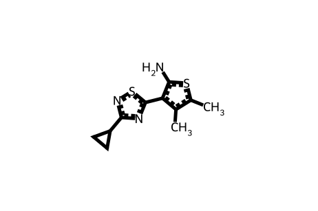 Cc1sc(N)c(-c2nc(C3CC3)ns2)c1C